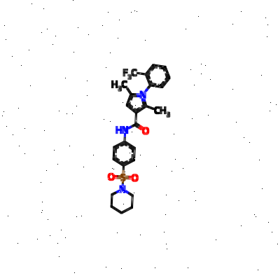 Cc1cc(C(=O)Nc2ccc(S(=O)(=O)N3CCCCC3)cc2)c(C)n1-c1ccccc1C(F)(F)F